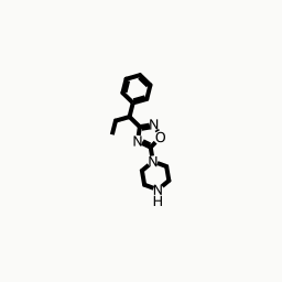 CCC(c1ccccc1)c1noc(N2CCNCC2)n1